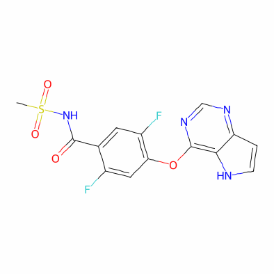 CS(=O)(=O)NC(=O)c1cc(F)c(Oc2ncnc3cc[nH]c23)cc1F